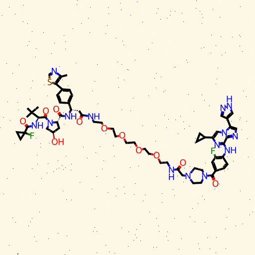 Cc1ncsc1-c1ccc([C@H](CC(=O)NCCOCCOCCOCCOCCNC(=O)CN2CCN(C(=O)c3ccc(Nc4nc(C5CC5)cn5c(-c6cn[nH]c6)cnc45)c(F)c3)CC2)NC(=O)[C@@H]2C[C@@H](O)CN2C(=O)[C@@H](NC(=O)C2(F)CC2)C(C)(C)C)cc1